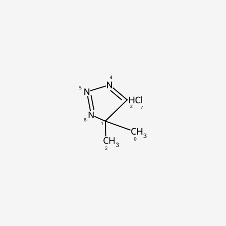 CC1(C)C=NN=N1.Cl